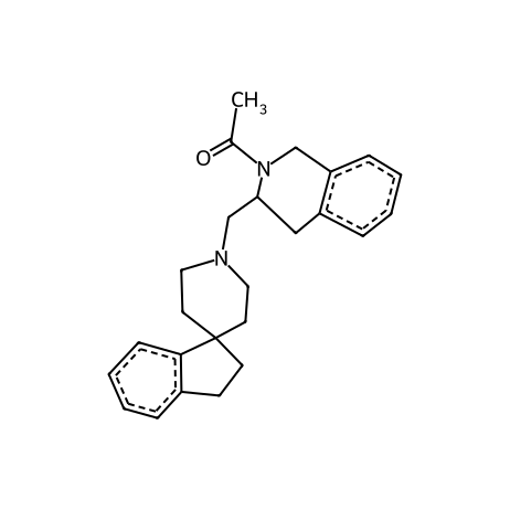 CC(=O)N1Cc2ccccc2CC1CN1CCC2(CCc3ccccc32)CC1